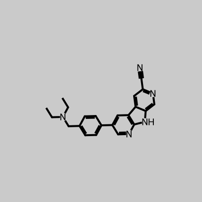 CCN(CC)Cc1ccc(-c2cnc3[nH]c4cnc(C#N)cc4c3c2)cc1